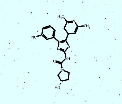 CC1=CC(c2sc(NC(=O)N3CC[C@H](O)C3)nc2-c2cccc(C#N)c2)CC(C)=N1